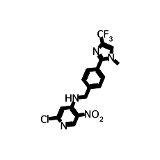 Cn1cc(C(F)(F)F)nc1-c1ccc(CNc2cc(Cl)ncc2[N+](=O)[O-])cc1